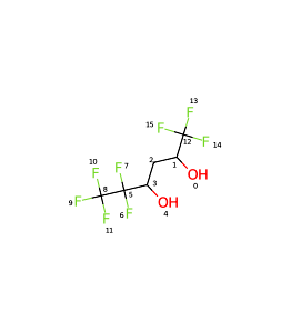 OC(CC(O)C(F)(F)C(F)(F)F)C(F)(F)F